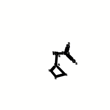 O=[SH](=O)NN1CCC1